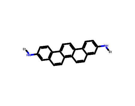 CCNc1ccc2c(ccc3c2ccc2c4ccc(NCC)cc4ccc23)c1